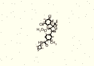 CON=C1C(c2ccc(C(=O)NC3CSC3)c(C)c2)=NOC1(c1cc(Cl)cc(Cl)c1)C(F)(F)F